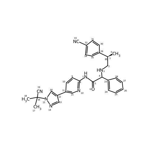 C[C@@H](CNC(C(=O)Nc1ccc(-c2cnn(C(C)(C)C#N)c2)cn1)c1ccccc1)c1ccc(C#N)cc1